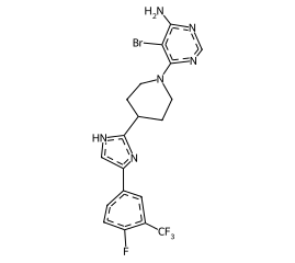 Nc1ncnc(N2CCC(c3nc(-c4ccc(F)c(C(F)(F)F)c4)c[nH]3)CC2)c1Br